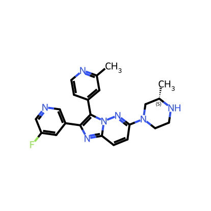 Cc1cc(-c2c(-c3cncc(F)c3)nc3ccc(N4CCN[C@@H](C)C4)nn23)ccn1